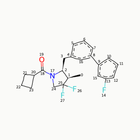 C[C@@H]1[C@H](Cc2cccc(-c3cccc(F)c3)c2)N(C(=O)C2CCC2)CC1(F)F